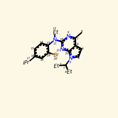 CCC(CC)n1ccc2c(C)nc(N(CC)c3ccc(C(C)C)cc3Br)nc21